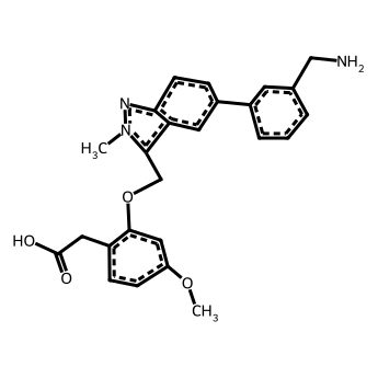 COc1ccc(CC(=O)O)c(OCc2c3cc(-c4cccc(CN)c4)ccc3nn2C)c1